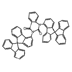 O=c1c2ccccc2n(-c2cccc3c2-c2ccccc2C32c3ccccc3-c3ccccc32)c(=O)n1-c1cccc2c1-c1ccccc1C21c2ccccc2-c2ccccc21